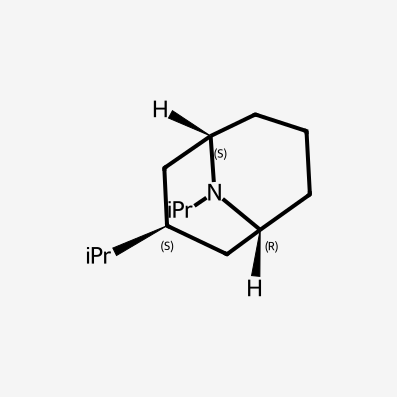 CC(C)[C@@H]1C[C@H]2CCC[C@@H](C1)N2C(C)C